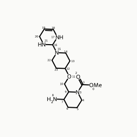 COC(=O)N1CCCC(N)C1COC1CCN(C2NC=CCN2)CC1